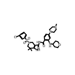 CN1CCN(c2ccc(C(=O)Nc3n[nH]c4c3CN(S(=O)(=O)c3cccc(Cl)c3)CC4(C)C)c(NC3CCOCC3)c2)CC1